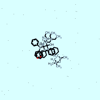 CCNP(C)(C)(CN(CC)CC)C(O)(P(C1CCCCC1)C1CCCCC1)C(O)(N(c1ccccc1)c1ccccc1)P(c1ccccc1)c1ccccc1.CN(C)O[Si](C)(C)C